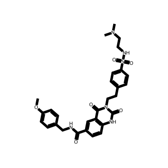 COc1ccc(CNC(=O)c2ccc3[nH]c(=O)n(CCc4ccc(S(=O)(=O)NCCN(C)C)cc4)c(=O)c3c2)cc1